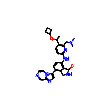 C[C@H](OC1CCC1)c1ccc(Nc2ccc(-c3cnc4cnccn34)c3c2C(=O)NC3)nc1CN(C)C